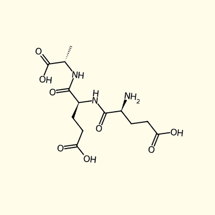 C[C@H](NC(=O)[C@H](CCC(=O)O)NC(=O)[C@@H](N)CCC(=O)O)C(=O)O